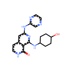 O=c1[nH]ccc2cc(Nc3cnccn3)nc(NC3CCC(O)CC3)c12